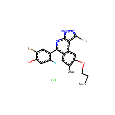 COCCOc1cc2c(cc1OC)c(-c1cc(Br)c(O)cc1F)nc1[nH]nc(C)c12.Cl